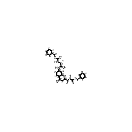 C[C@H](NC(=O)OCc1ccccc1)C1=Nc2cc(NC(=O)[C@@H](C)NC(=O)OCc3ccccc3)ccc2C(=O)C1